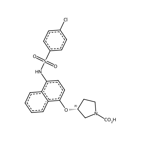 O=C(O)N1CC[C@@H](Oc2ccc(NS(=O)(=O)c3ccc(Cl)cc3)c3ccccc23)C1